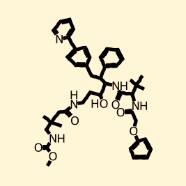 COC(=O)NCC(C)(C)CC(=O)NCCC(O)C(NC(=O)C(NC(=O)COc1ccccc1)C(C)(C)C)C(Cc1ccc(-c2ccccn2)cc1)c1ccccc1